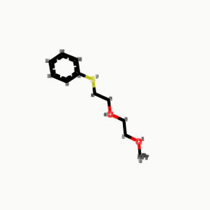 CCCOCCOCCSc1ccccc1